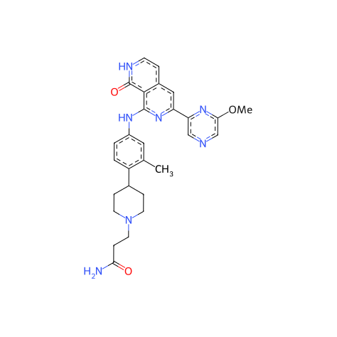 COc1cncc(-c2cc3cc[nH]c(=O)c3c(Nc3ccc(C4CCN(CCC(N)=O)CC4)c(C)c3)n2)n1